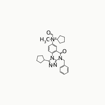 C[N+](C=O)(c1ccc2c(c1)c(=O)n(Cc1ccccc1)c1nnc(C3CCCC3)n21)C1CCCC1